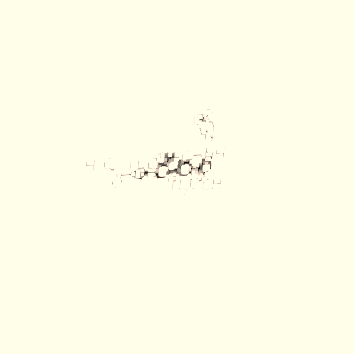 C=C(C)[C@@H]1CC[C@]2(NCCN3CCS(=O)(=O)CC3)CC[C@]3(C)[C@H](CC[C@@H]4[C@@]5(C)CC=C(C6=CC7C(C6)C7C(=O)OCC)C(C)(C)[C@@H]5CC[C@]43C)[C@@H]12